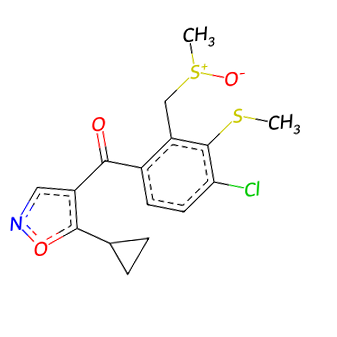 CSc1c(Cl)ccc(C(=O)c2cnoc2C2CC2)c1C[S+](C)[O-]